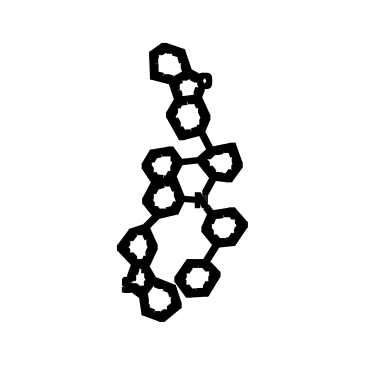 c1ccc(-c2cccc(N(c3cccc(-c4ccc5sc6ccccc6c5c4)c3)c3cccc(-c4ccc5c(c4)oc4ccccc45)c3-c3ccccc3)c2)cc1